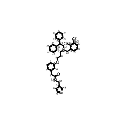 O=C(Cc1cccc(OCCCN(Cc2cccc(C(F)(F)F)c2Cl)CC(c2ccccc2)c2ccccc2)c1)NCc1ccsc1